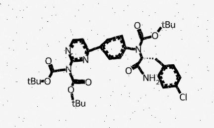 CC(C)(C)OC(=O)N(C(=O)OC(C)(C)C)c1nccc(-c2ccc(N(C(=O)OC(C)(C)C)[C@H](Cc3ccc(Cl)cc3)C(N)=O)cc2)n1